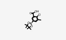 Cc1cc(B2OC(C)(C)C(C)(C)O2)cc(C(=O)O)c1Cl